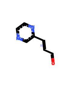 O=C/C=C/c1cnccn1